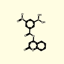 O=C(Oc1cc(=O)oc2ccccc12)c1cc(B(O)O)cc([N+](=O)[O-])c1